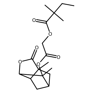 CCC(C)(C)C(=O)OCC(=O)OC1(C)C2CC3C1OC(=O)C3(C)C2